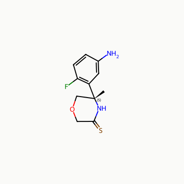 C[C@]1(c2cc(N)ccc2F)COCC(=S)N1